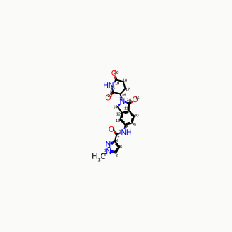 Cn1ccc(C(=O)Nc2ccc3c(c2)CN(C2CCC(=O)NC2=O)C3=O)n1